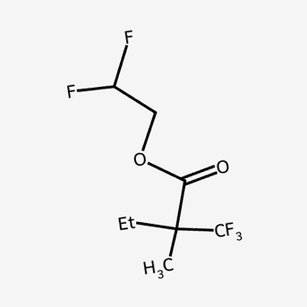 CCC(C)(C(=O)OCC(F)F)C(F)(F)F